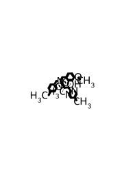 CCc1ccc(CN(Cc2ccc(OC)cc2)S(=O)(=O)[C@@H](C)[C@H](O)c2ncc(C)cn2)cc1